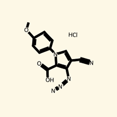 COc1ccc(-n2cc(C#N)c(N=[N+]=[N-])c2C(=O)O)cc1.Cl